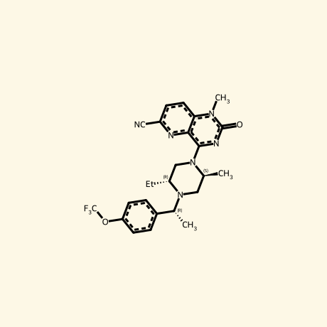 CC[C@@H]1CN(c2nc(=O)n(C)c3ccc(C#N)nc23)[C@@H](C)CN1[C@H](C)c1ccc(OC(F)(F)F)cc1